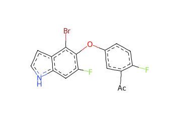 CC(=O)c1cc(Oc2c(F)cc3[nH]ccc3c2Br)ccc1F